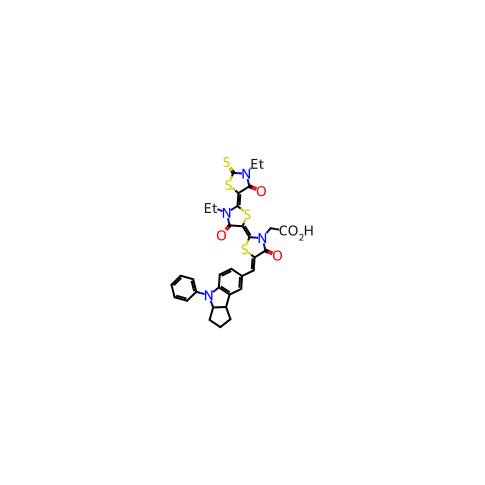 CCN1C(=O)/C(=c2\s/c(=c3/s/c(=C\c4ccc5c(c4)C4CCCC4N5c4ccccc4)c(=O)n3CC(=O)O)c(=O)n2CC)SC1=S